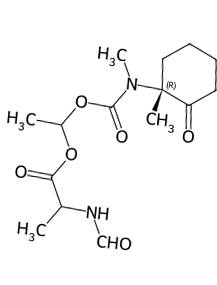 CC(OC(=O)C(C)NC=O)OC(=O)N(C)[C@]1(C)CCCCC1=O